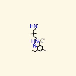 C=C=C(NCCC(C)(C)CCNC)c1cc(C)cc(CC)c1N=C